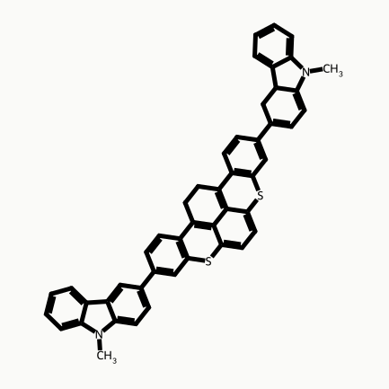 CN1C2=CC=C(c3ccc4c(c3)Sc3ccc5c6c3=C4CCC=6c3ccc(-c4ccc6c(c4)c4ccccc4n6C)cc3S5)CC2c2ccccc21